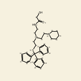 O=C(CS)NCCN(CCSC(c1ccccc1)(c1ccccc1)c1ccccc1)CCN1CCCCC1